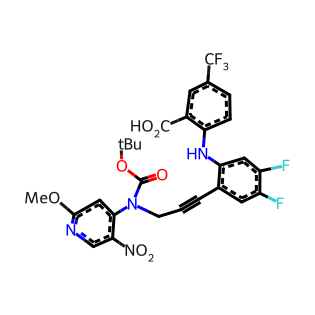 COc1cc(N(CC#Cc2cc(F)c(F)cc2Nc2ccc(C(F)(F)F)cc2C(=O)O)C(=O)OC(C)(C)C)c([N+](=O)[O-])cn1